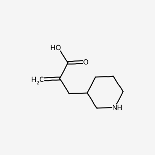 C=C(CC1CCCNC1)C(=O)O